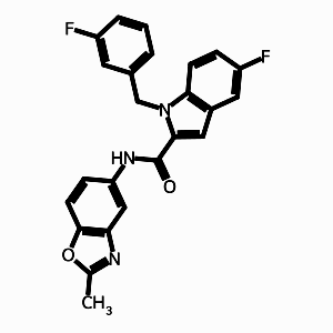 Cc1nc2cc(NC(=O)c3cc4cc(F)ccc4n3Cc3cccc(F)c3)ccc2o1